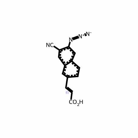 N#Cc1cc2cc(/C=C/C(=O)O)ccc2cc1N=[N+]=[N-]